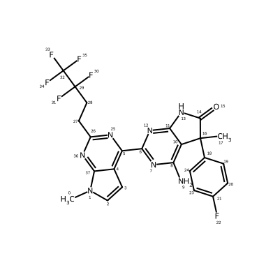 Cn1ccc2c(-c3nc(N)c4c(n3)NC(=O)C4(C)c3ccc(F)cc3)nc(CCC(F)(F)C(F)(F)F)nc21